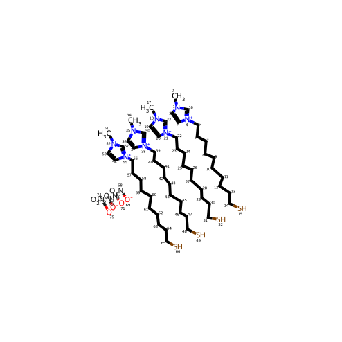 Cn1cc[n+](CCCCCCCCCCS)c1.Cn1cc[n+](CCCCCCCCCCS)c1.Cn1cc[n+](CCCCCCCCCCS)c1.Cn1cc[n+](CCCCCCCCCCS)c1.O=[N+]([O-])[O-].O=[N+]([O-])[O-].O=[N+]([O-])[O-].O=[N+]([O-])[O-]